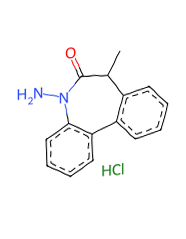 CC1C(=O)N(N)c2ccccc2-c2ccccc21.Cl